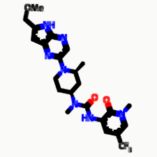 COCc1cc2nc(N3CC[C@H](N(C)C(=O)Nc4cc(C(F)(F)F)cn(C)c4=O)C[C@@H]3C)cnc2[nH]1